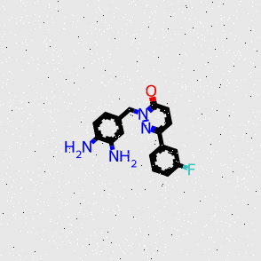 Nc1ccc(Cn2nc(-c3cccc(F)c3)ccc2=O)cc1N